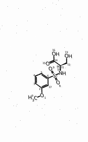 COc1cccc(S(=O)(=O)N[C@H](CO)C(=O)O)c1